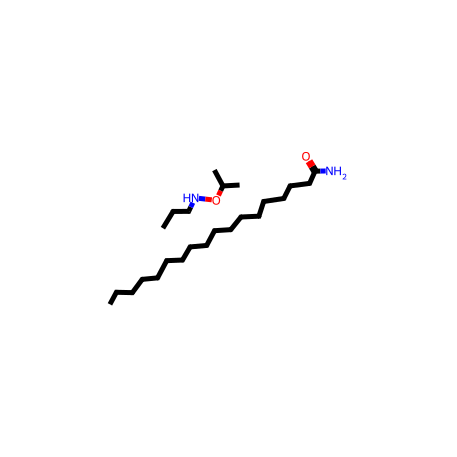 CCCCCCCCCCCCCCCCCC(N)=O.CCCNOC(C)C